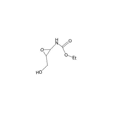 CCOC(=O)NC1OC1CO